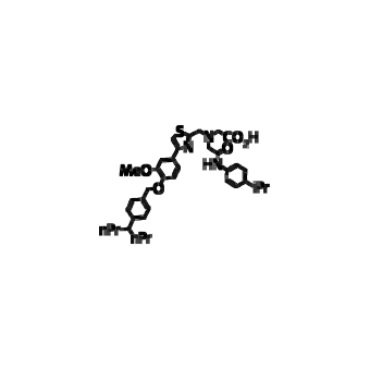 CCCC(CCC)c1ccc(COc2ccc(-c3csc(CN(CC(=O)O)CC(=O)Nc4ccc(C(C)C)cc4)n3)cc2OC)cc1